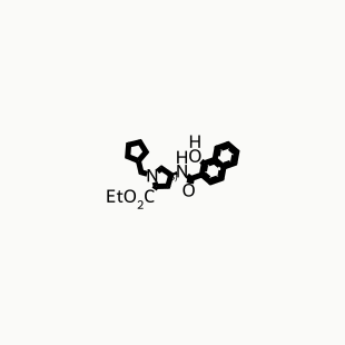 CCOC(=O)C1C[C@H](NC(=O)c2ccc3ccccc3c2O)CN1CC1CCCC1